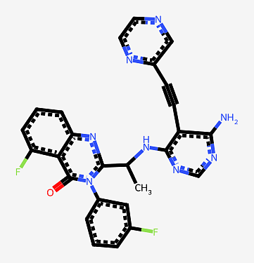 CC(Nc1ncnc(N)c1C#Cc1cnccn1)c1nc2cccc(F)c2c(=O)n1-c1cccc(F)c1